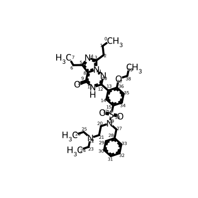 CCCc1nc(CC)c2c(=O)[nH]c(-c3cc(S(=O)(=O)N(CCN(CC)CC)Cc4ccccc4)ccc3OCC)nn12